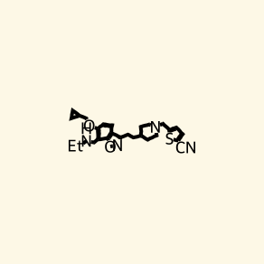 CCNCc1c(OCC2CC2)ccc2c(CCC3CCN(Cc4ccc(C#N)s4)CC3)noc12